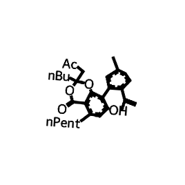 C=C(C)c1ccc(C)cc1-c1c(O)cc(CCCCC)c2c1OC(CCCC)(CC(C)=O)OC2=O